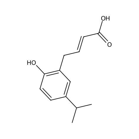 CC(C)c1ccc(O)c(C/C=C/C(=O)O)c1